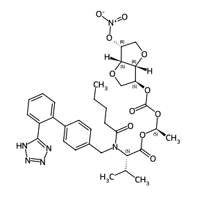 CCCCC(=O)N(Cc1ccc(-c2ccccc2-c2nnn[nH]2)cc1)[C@H](C(=O)O[C@H](C)OC(=O)O[C@H]1CO[C@H]2[C@@H]1OC[C@H]2O[N+](=O)[O-])C(C)C